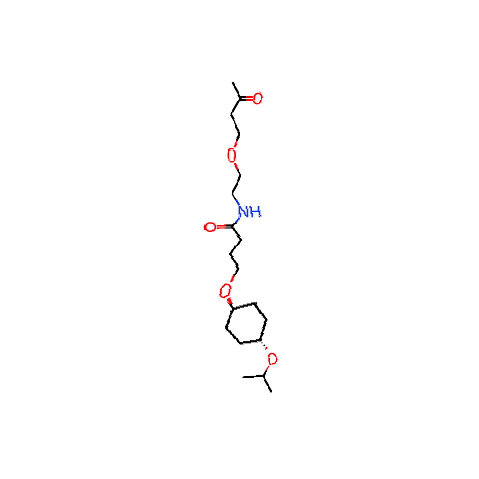 CC(=O)CCOCCNC(=O)CCCO[C@H]1CC[C@H](OC(C)C)CC1